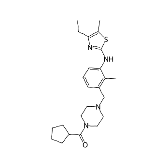 CCc1nc(Nc2cccc(CN3CCN(C(=O)C4CCCC4)CC3)c2C)sc1C